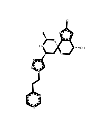 C[C@H]1C[C@@]2(C[C@@H](c3cn(CCc4ccncn4)nn3)N1)OC[C@@H](O)c1cc(Cl)sc12